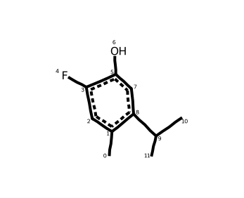 Cc1cc(F)c(O)cc1C(C)C